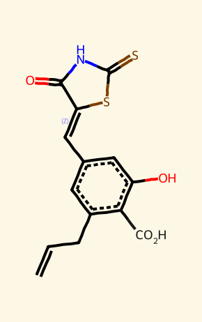 C=CCc1cc(/C=C2\SC(=S)NC2=O)cc(O)c1C(=O)O